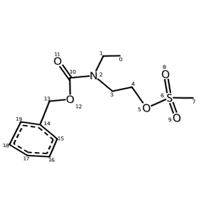 CCN(CCOS(C)(=O)=O)C(=O)OCc1ccccc1